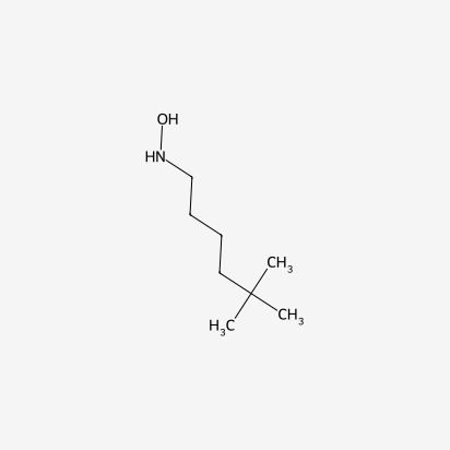 CC(C)(C)CCCCNO